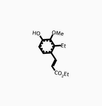 CCOC(=O)C=Cc1ccc(O)c(OC)c1CC